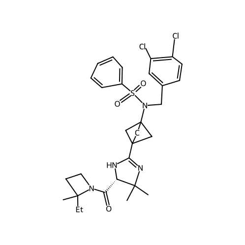 CCC1(C)CCN1C(=O)[C@@H]1NC(C23CC(N(Cc4ccc(Cl)c(Cl)c4)S(=O)(=O)c4ccccc4)(C2)C3)=NC1(C)C